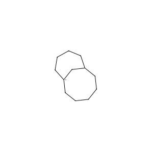 C1CC[C]2CCCCC(CC1)C2